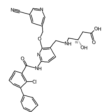 N#Cc1cncc(COc2nc(NC(=O)c3cccc(-c4ccccc4)c3Cl)ccc2CNC[C@@H](O)CC(=O)O)c1